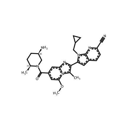 COc1cc(C(=O)N2C[C@H](N)CC[C@@H]2C)cc2nc(-c3cc4ccc(C#N)nc4n3CC3CC3)c(C)n12